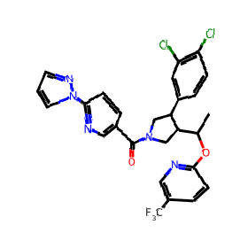 CC(Oc1ccc(C(F)(F)F)cn1)C1CN(C(=O)c2ccc(-n3cccn3)nc2)CC1c1ccc(Cl)c(Cl)c1